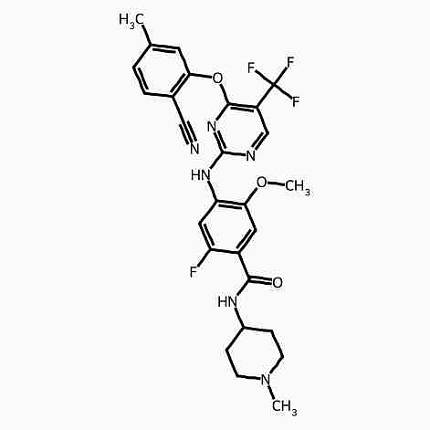 COc1cc(C(=O)NC2CCN(C)CC2)c(F)cc1Nc1ncc(C(F)(F)F)c(Oc2cc(C)ccc2C#N)n1